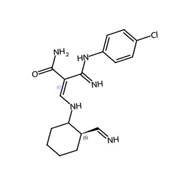 N=C[C@H]1CCCCC1N/C=C(\C(=N)Nc1ccc(Cl)cc1)C(N)=O